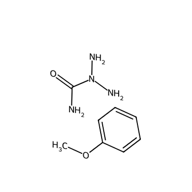 COc1ccccc1.NC(=O)N(N)N